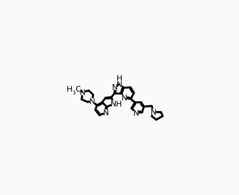 CN1CCN(c2ccnc3[nH]c(-c4n[nH]c5ccc(-c6cncc(CN7CCCC7)c6)nc45)cc23)CC1